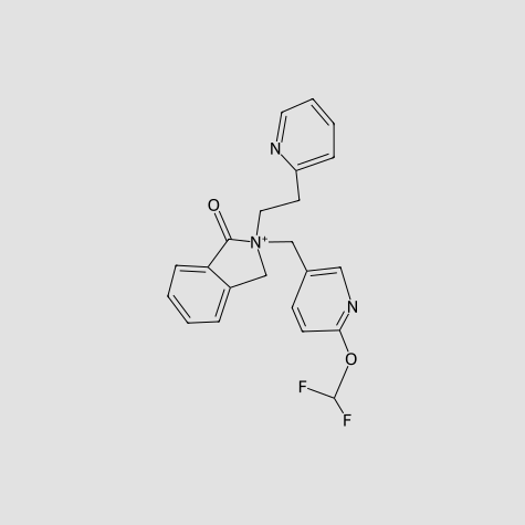 O=C1c2ccccc2C[N+]1(CCc1ccccn1)Cc1ccc(OC(F)F)nc1